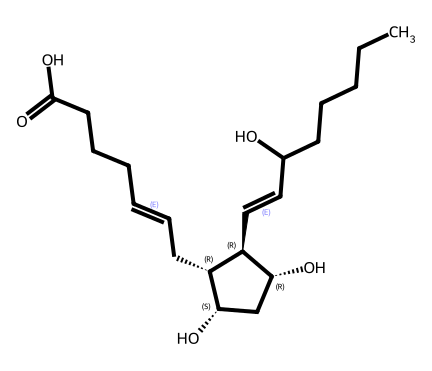 CCCCCC(O)/C=C/[C@@H]1[C@@H](C/C=C/CCCC(=O)O)[C@@H](O)C[C@H]1O